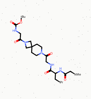 CNCC(=O)NC(CC(C)C)C(=O)NCC(=O)N1CCC2(CC1)CN(C(=O)CNC(=O)OC(C)(C)C)C2